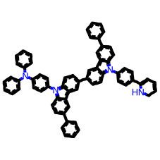 C1=CCNC(c2ccc(-n3c4ccc(-c5ccccc5)cc4c4cc(-c5ccc6c(c5)c5cc(-c7ccccc7)ccc5n6-c5ccc(N(c6ccccc6)c6ccccc6)cc5)ccc43)cc2)=C1